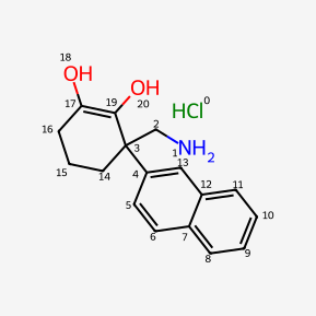 Cl.NCC1(c2ccc3ccccc3c2)CCCC(O)=C1O